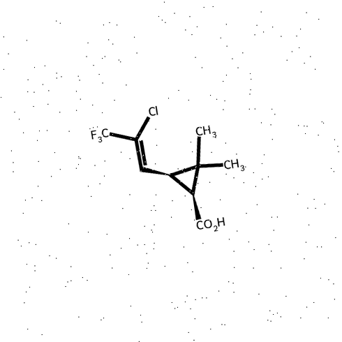 CC1(C)[C@H](C=C(Cl)C(F)(F)F)[C@@H]1C(=O)O